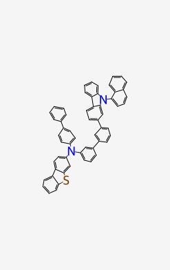 c1ccc(-c2ccc(N(c3cccc(-c4cccc(-c5ccc6c7ccccc7n(-c7cccc8ccccc78)c6c5)c4)c3)c3ccc4c(c3)sc3ccccc34)cc2)cc1